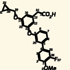 COc1ccc(-c2cccc(Oc3cc(CC(=O)O)cc(OCC4CC4)c3)c2)cc1F